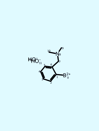 [B+2]c1ccccc1CN(C)C.[OH-].[OH-]